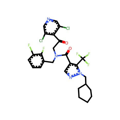 O=C(CN(Cc1cccc(F)c1F)C(=O)c1cnn(CC2CCCCC2)c1C(F)(F)F)c1c(Cl)cncc1Cl